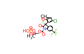 COc1ccc(Cl)cc1[C@]1(F)C(=O)N(C(=O)OCC(C)OP(=O)(O)O)c2cc(C(F)(F)F)ccc21